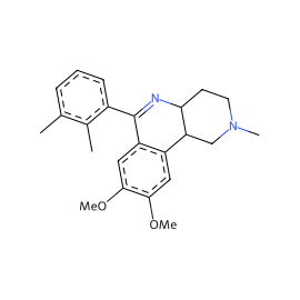 COc1cc2c(cc1OC)C1CN(C)CCC1N=C2c1cccc(C)c1C